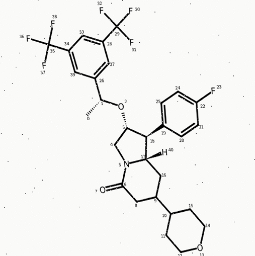 C[C@@H](O[C@H]1CN2C(=O)CC(C3CCOCC3)C[C@H]2[C@@H]1c1ccc(F)cc1)c1cc(C(F)(F)F)cc(C(F)(F)F)c1